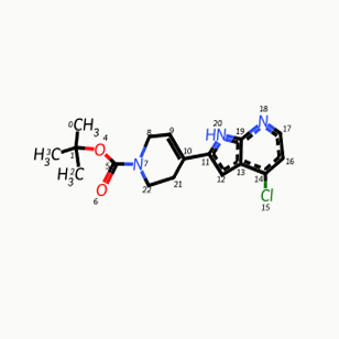 CC(C)(C)OC(=O)N1CC=C(c2cc3c(Cl)ccnc3[nH]2)CC1